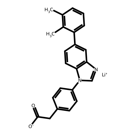 Cc1cccc(-c2ccc3c(c2)ncn3-c2ccc(CC(=O)[O-])cc2)c1C.[Li+]